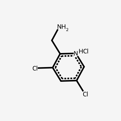 Cl.NCc1ncc(Cl)cc1Cl